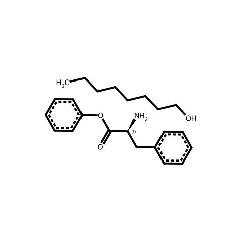 CCCCCCCCO.N[C@@H](Cc1ccccc1)C(=O)Oc1ccccc1